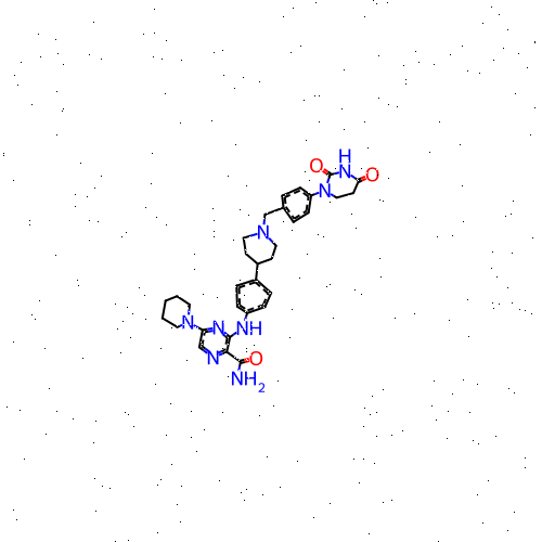 NC(=O)c1ncc(N2CCCCC2)nc1Nc1ccc(C2CCN(Cc3ccc(N4CCC(=O)NC4=O)cc3)CC2)cc1